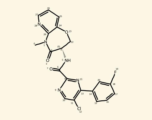 CN1C(=O)[C@@H](NC(=O)c2ncc(Cl)c(-c3cccc(F)c3)n2)COc2cccnc21